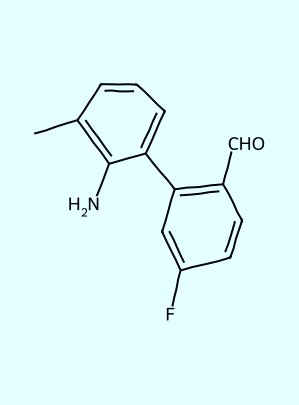 Cc1cccc(-c2cc(F)ccc2C=O)c1N